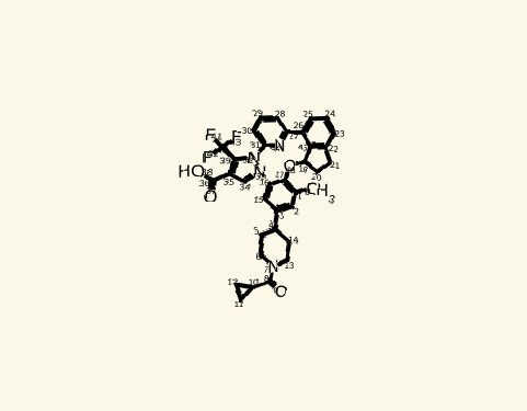 Cc1cc(C2CCN(C(=O)C3CC3)CC2)ccc1OC1CCc2cccc(-c3cccc(-n4ncc(C(=O)O)c4C(F)(F)F)n3)c21